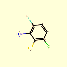 Nc1c(F)ccc(Cl)c1S